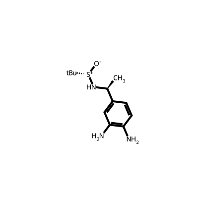 C[C@H](N[S@@+]([O-])C(C)(C)C)c1ccc(N)c(N)c1